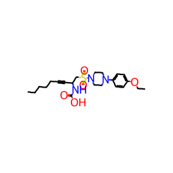 CCCCCC#CC(CS(=O)(=O)N1CCN(c2ccc(OCC)cc2)CC1)NC(=O)O